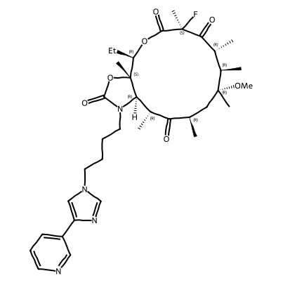 CC[C@H]1OC(=O)[C@@](C)(F)C(=O)[C@H](C)[C@@H](C)[C@](C)(OC)C[C@@H](C)C(=O)[C@H](C)[C@H]2N(CCCCn3cnc(-c4cccnc4)c3)C(=O)O[C@]12C